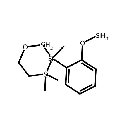 C[Si]1(C)CCO[SiH2][Si]1(C)c1ccccc1O[SiH3]